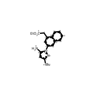 CCOC(=O)Cc1cc(-n2nc(C(C)(C)C)cc2N)cc2ccccc12